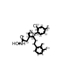 Cc1c(F)cccc1CCc1c(CC(=O)NO)cnn1-c1ccc(F)cc1Cl